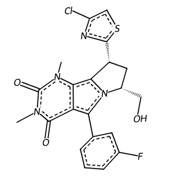 Cn1c(=O)c2c(-c3cccc(F)c3)n3c(c2n(C)c1=O)[C@H](c1nc(Cl)cs1)C[C@@H]3CO